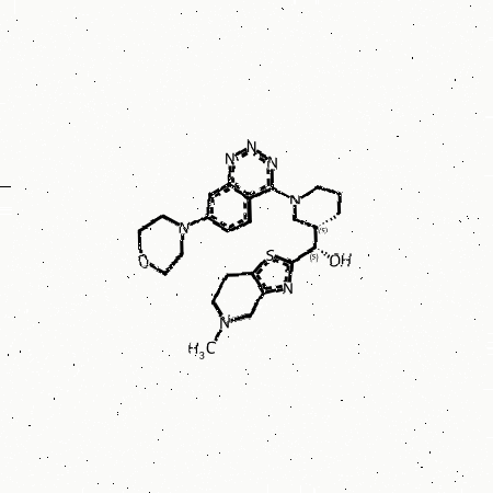 CN1CCc2sc([C@@H](O)[C@H]3CCCN(c4nnnc5cc(N6CCOCC6)ccc45)C3)nc2C1